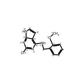 COc1ccccc1CNc1nc(Cl)nc2[nH]ccc12